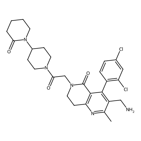 Cc1nc2c(c(-c3ccc(Cl)cc3Cl)c1CN)C(=O)N(CC(=O)N1CCC(N3CCCCC3=O)CC1)CC2